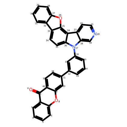 O=c1c2ccccc2oc2cc(-c3cccc(-n4c5cnccc5c5c6oc7ccccc7c6ccc54)c3)ccc12